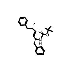 C[C@H](/C=C/[C@H](Cc1ccccc1)NC(=O)OC(C)(C)C)Cc1ccccc1